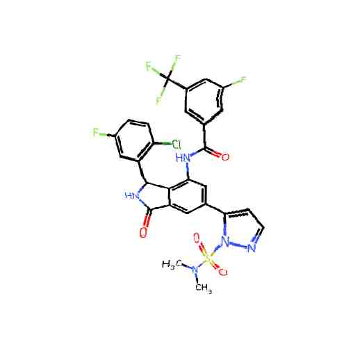 CN(C)S(=O)(=O)n1nccc1-c1cc(NC(=O)c2cc(F)cc(C(F)(F)F)c2)c2c(c1)C(=O)NC2c1cc(F)ccc1Cl